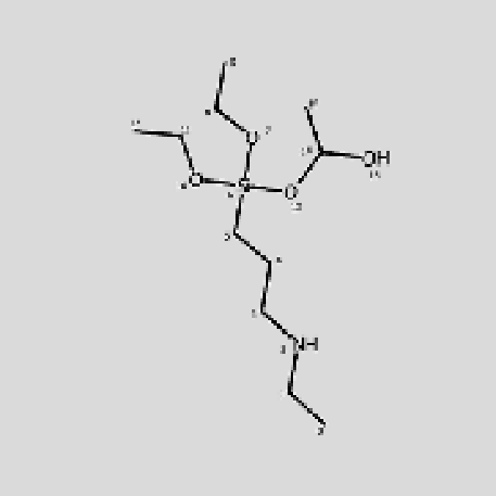 CCNCCC[Si](OCC)(OCC)OC(C)O